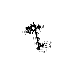 CN1[C@H](CCCNC(=O)CCCCNC(=O)CCCCNC(=O)CN(CCNCC(=O)O)CCN(CCNCC(=O)O)CC(=O)O)C(=O)N[C@@H](CCCNC(=N)N)C(=O)N[C@@H](Cc2ccc3ccccc3c2)C(=O)NCC(=O)N[C@]1(C=O)Cc1ccc(O)c(I)c1